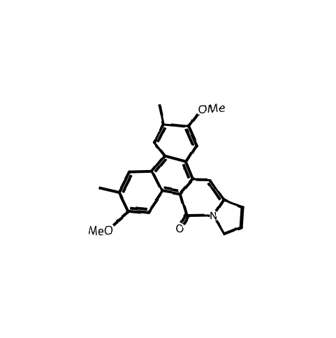 COc1cc2c(cc1C)c1cc(C)c(OC)cc1c1c(=O)n3c(cc21)CCC3